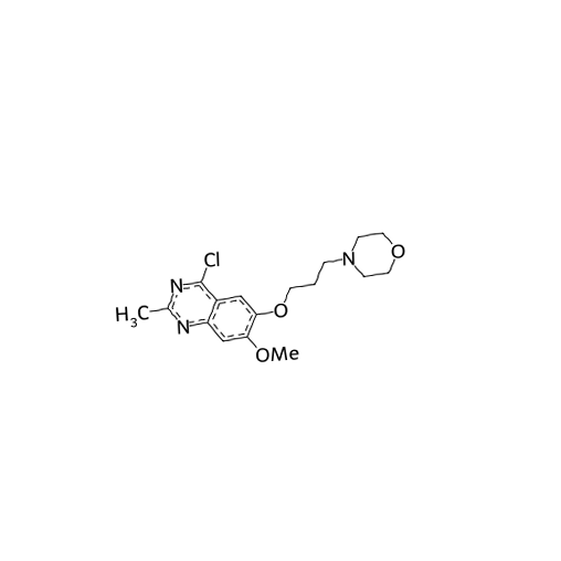 COc1cc2nc(C)nc(Cl)c2cc1OCCCN1CCOCC1